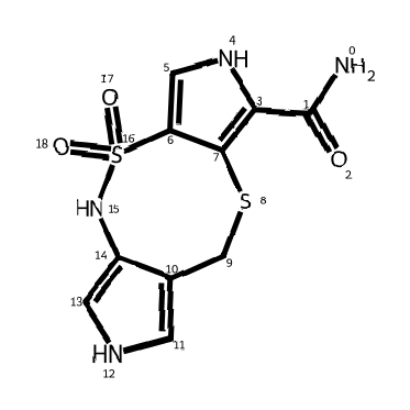 NC(=O)c1[nH]cc2c1SCc1c[nH]cc1NS2(=O)=O